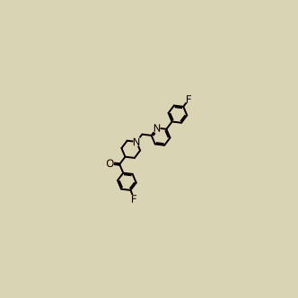 O=C(c1ccc(F)cc1)C1CCN(Cc2cccc(-c3ccc(F)cc3)n2)CC1